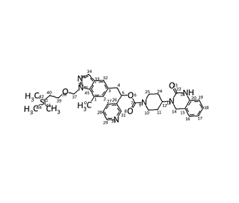 Cc1cc(CC(OC(=O)N2CCC(N3Cc4ccccc4NC3=O)CC2)c2cccnc2)cc2cnn(COCC[Si](C)(C)C)c12